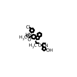 COC(=O)C1(Nc2cccc(Cl)c2)CCC2(CC1)c1ccccc1C[C@@H]2C[C@@H](C)COc1ccnc2c1CCC2O